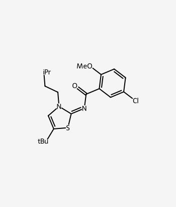 COc1ccc(Cl)cc1C(=O)N=c1sc(C(C)(C)C)cn1CCC(C)C